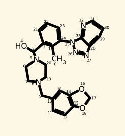 Cc1c(C(O)N2CCN(Cc3ccc4c(c3)OCO4)CC2)cccc1-n1nnc2cccnc21